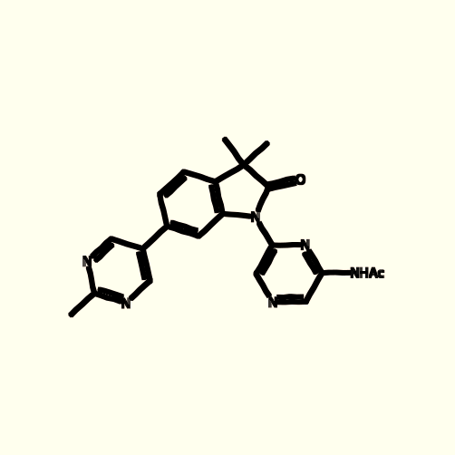 CC(=O)Nc1cncc(N2C(=O)C(C)(C)c3ccc(-c4cnc(C)nc4)cc32)n1